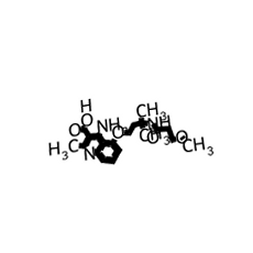 COCCC(=O)NC(C)(C)CCOc1cccc2nc(C)c(C(=O)O)c(N)c12